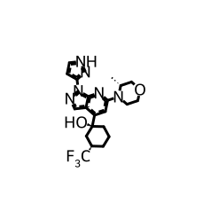 C[C@@H]1COCCN1c1cc([C@]2(O)CCC[C@H](C(F)(F)F)C2)c2cnn(-c3cc[nH]n3)c2n1